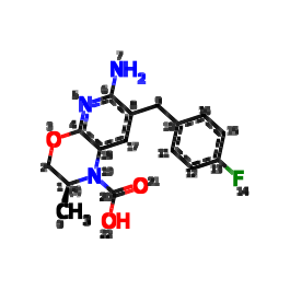 C[C@H]1COc2nc(N)c(Cc3ccc(F)cc3)cc2N1C(=O)O